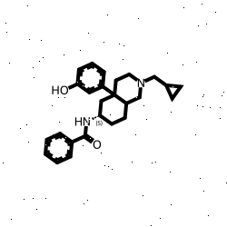 O=C(N[C@H]1CCC2CN(CC3CC3)CCC2(c2cccc(O)c2)C1)c1ccccc1